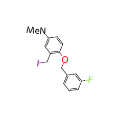 CNc1ccc(OCc2cccc(F)c2)c(CI)c1